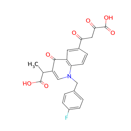 CC(C(=O)O)c1cn(Cc2ccc(F)cc2)c2ccc(C(=O)CC(=O)C(=O)O)cc2c1=O